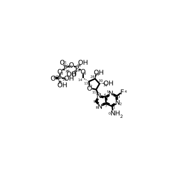 Nc1nc(F)nc2c1ncn2C1O[C@H](COP(=O)(O)OP(=O)(O)OP(=O)(O)O)[C@@H](O)[C@@H]1O